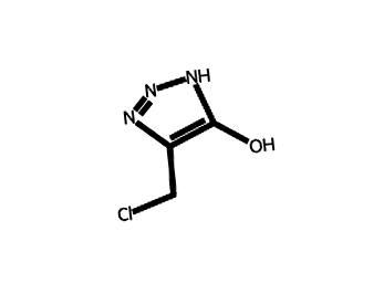 Oc1[nH]nnc1CCl